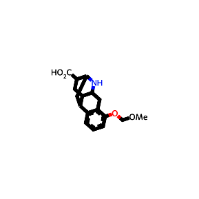 COCOc1cccc2c1CC1NC3CC2C1CC3C(=O)O